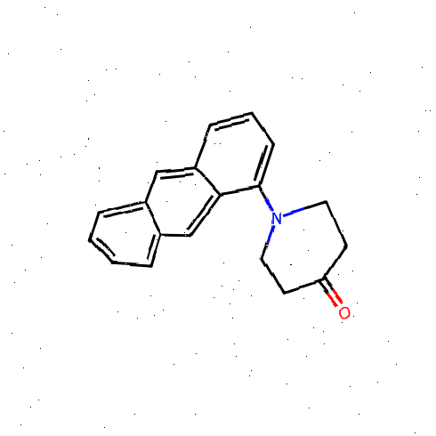 O=C1CCN(c2cccc3cc4ccccc4cc23)CC1